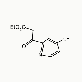 CCOC(=O)CC(=O)c1cc(C(F)(F)F)ccn1